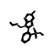 CCOCn1c(-c2ccccc2S(=O)(=O)CC)nc2cc(C)cnc21